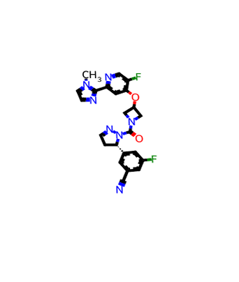 Cn1ccnc1-c1cc(OC2CN(C(=O)N3N=CC[C@H]3c3cc(F)cc(C#N)c3)C2)c(F)cn1